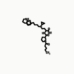 CCCCC(=O)N1CCCC(C(=O)NC(CCN(CCCCc2ccc3c(n2)NCCC3)C2CC2)C(=O)O)C1